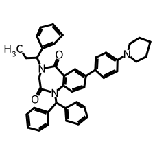 CCC(c1ccccc1)N1CC(=O)N(C(c2ccccc2)c2ccccc2)c2ccc(-c3ccc(N4CCCCC4)cc3)cc2C1=O